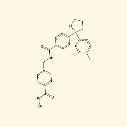 O=C(NO)c1ccc(CNC(=O)c2ccc(C3(c4ccc(F)cc4)CCCO3)cc2)cc1